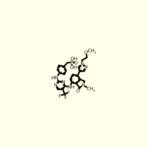 COCCn1cc(-c2ccc(Nc3nc(Nc4ccc(CP(=O)(O)O)cc4)ncc3C(F)(F)F)c3c2CN(C)C3=O)cn1